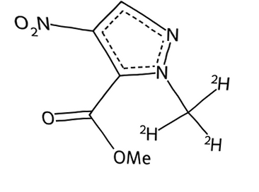 [2H]C([2H])([2H])n1ncc([N+](=O)[O-])c1C(=O)OC